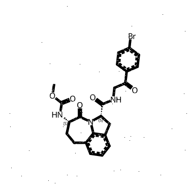 COC(=O)N[C@H]1CCc2cccc3c2N(C1=O)[C@H](C(=O)NCC(=O)c1ccc(Br)cc1)C3